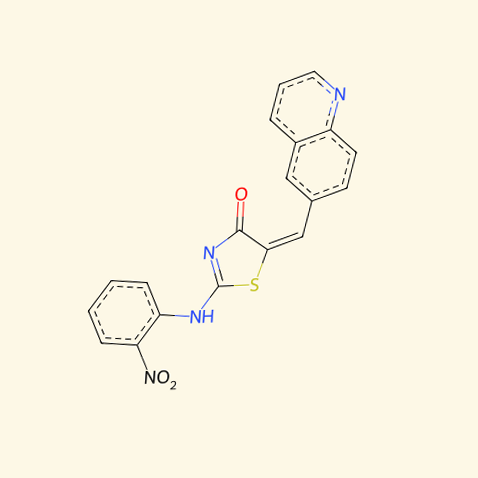 O=C1N=C(Nc2ccccc2[N+](=O)[O-])SC1=Cc1ccc2ncccc2c1